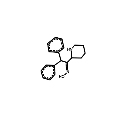 ON=C(C1CCCCN1)C(c1ccccc1)c1ccccc1